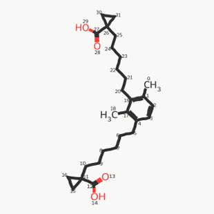 Cc1ccc(CCCCCCC2(C(=O)O)CC2)c(C)c1CCCCCCC1(C(=O)O)CC1